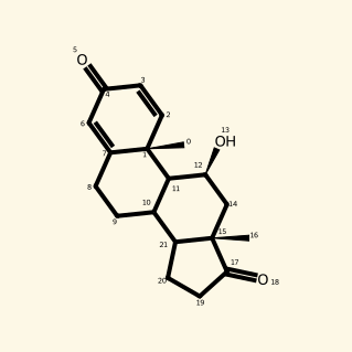 C[C@]12C=CC(=O)C=C1CCC1C2[C@@H](O)C[C@]2(C)C(=O)CCC12